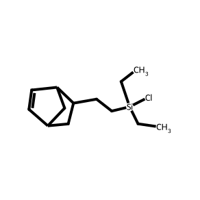 CC[Si](Cl)(CC)CCC1CC2C=CC1C2